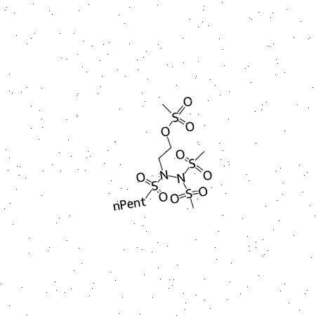 CCCCCS(=O)(=O)N(CCOS(C)(=O)=O)N(S(C)(=O)=O)S(C)(=O)=O